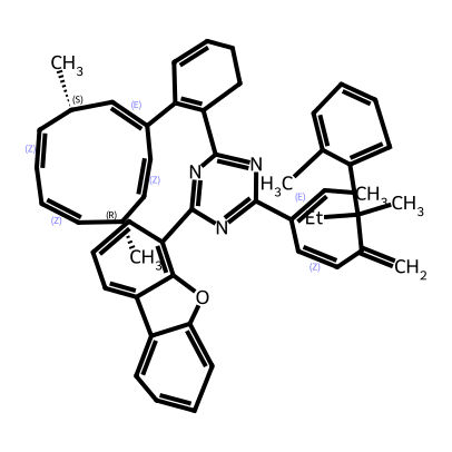 C=C(/C=C\C(=C/C)c1nc(C2=C(C3=C/[C@@H](C)/C=C\C=C/[C@@H](C)/C=C\3)C=CCC2)nc(-c2cccc3c2oc2ccccc23)n1)C(C)(CC)c1ccccc1C